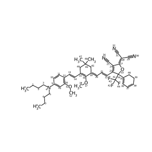 CCCCN(CCCC)c1ccc(/C=C/C2=C(OC)C(=C/C=C/C3=C(C#N)C(=C(C#N)C#N)OC3(C3=CC=CCC3)C(F)(F)F)/CC(C)(C)C2)c(OC)c1